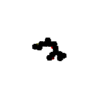 c1cc(-c2ccc3c4ccc(-c5cccc6c5oc5cc(-c7cc(-c8ccc9c(c8)oc8ccccc89)cc(-c8ccc9c%10ccccc%10c%10ccccc%10c9c8)c7)ccc56)cc4c4ccccc4c3c2)cc(-c2cccc3c2sc2ccccc23)c1